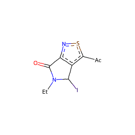 CCN1C(=O)c2nsc(C(C)=O)c2C1I